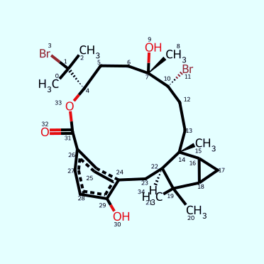 CC(C)(Br)[C@@H]1CC[C@](C)(O)[C@H](Br)CC[C@]2(C)C3CC3C(C)(C)[C@H]2Cc2cc(ccc2O)C(=O)O1